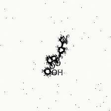 Cn1ccc(-c2ccc(CN3Cc4cccc(OC5CCCCC5O)c4C3=O)cc2)n1